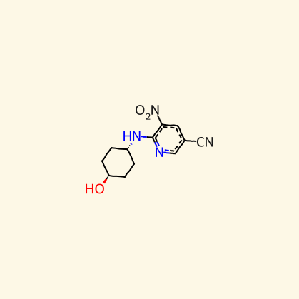 N#Cc1cnc(N[C@H]2CC[C@H](O)CC2)c([N+](=O)[O-])c1